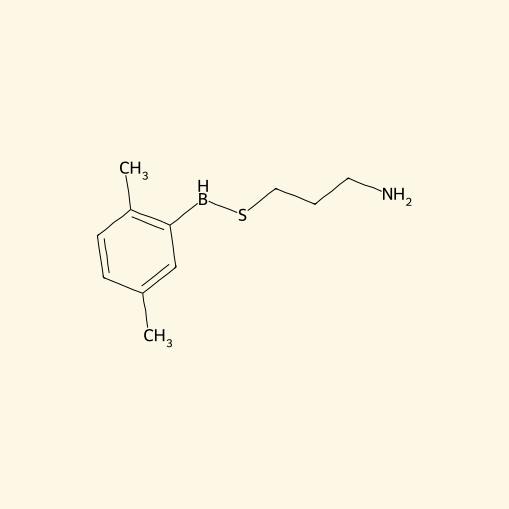 Cc1ccc(C)c(BSCCCN)c1